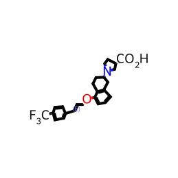 O=C(O)C1CCN(C2CCc3c(cccc3OC/C=C/c3ccc(C(F)(F)F)cc3)C2)C1